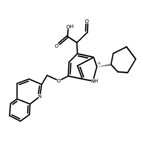 O=CC(C(=O)O)c1cc(OCc2ccc3ccccc3n2)c2cc1[C@H](C1CCCCC1)N2